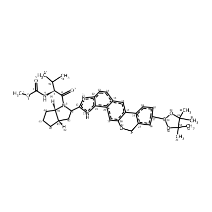 COC(=O)N[C@H](C(=O)N1C(c2nc3ccc4cc5c(cc4c3[nH]2)OCc2cc(B3OC(C)(C)C(C)(C)O3)ccc2-5)C[C@@H]2CCC[C@@H]21)C(C)C